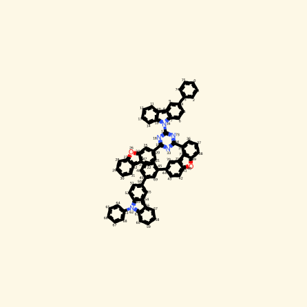 c1ccc(-c2ccc3c(c2)c2ccccc2n3-c2nc(-c3ccc4c(c3)oc3ccccc34)nc(-c3cccc4oc5ccc(-c6cccc(-c7ccc8c(c7)c7ccccc7n8-c7ccccc7)c6)cc5c34)n2)cc1